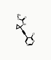 CC(C)(C)OC(=O)NC1(C#Cc2cncnc2Cl)CC1